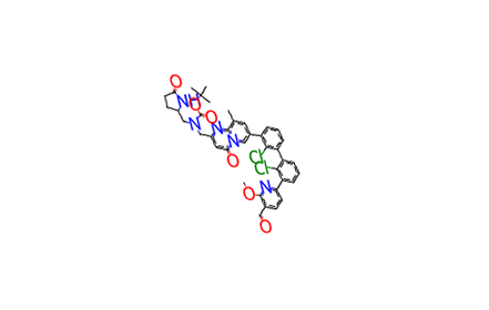 COc1nc(-c2cccc(-c3cccc(-c4cc(C)c5nc(CN(CC6CCC(=O)N6)C(=O)OC(C)(C)C)cc(=O)n5c4)c3Cl)c2Cl)ccc1C=O